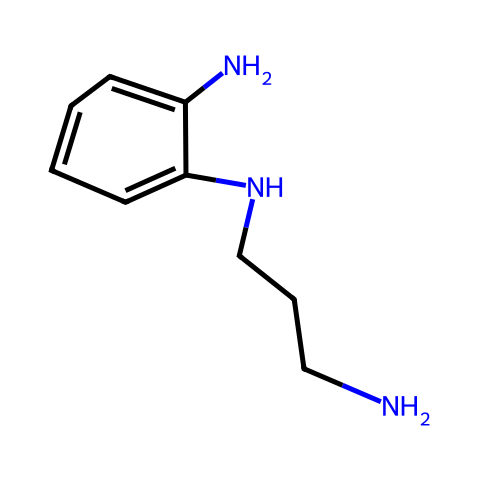 NCCCNc1ccccc1N